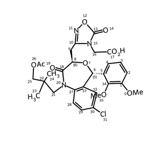 COc1cccc([C@H]2O[C@H](Cc3noc(=O)n3CC(=O)O)C(=O)N(CC(C)(C)COC(C)=O)c3ccc(Cl)cc32)c1OC